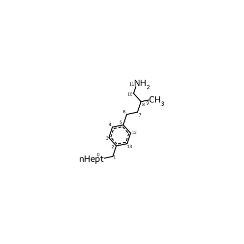 CCCCCCCCc1ccc(CCC(C)CN)cc1